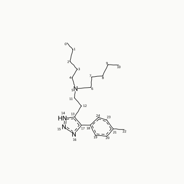 CCCCCN(CCCCC)CCc1[nH]nnc1-c1ccc(C)cc1